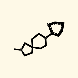 CN1CCC2(CCN(c3ccccn3)CC2)C1